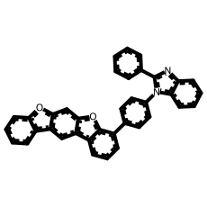 c1ccc(-c2nc3ccccc3n2-c2ccc(-c3cccc4c3oc3cc5oc6ccccc6c5cc34)cc2)cc1